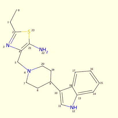 CCc1nc(CN2CCC(c3c[nH]c4ccccc34)CC2)c(N)s1